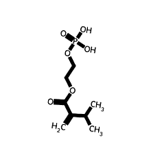 C=C(C(=O)OCCOP(=O)(O)O)C(C)C